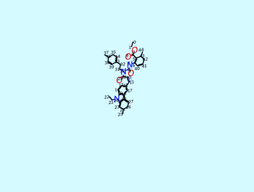 CCOC(=O)C1=C(/N=C2\O/C(=C/c3ccc4c(c3)c3c(n4CC)=CC(C)CC=3)C(=O)N2CCC2=CCC(C)C=C2)C=CCC1C